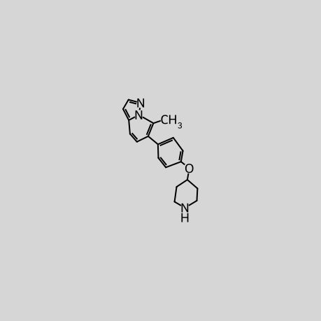 Cc1c(-c2ccc(OC3CCNCC3)cc2)ccc2ccnn12